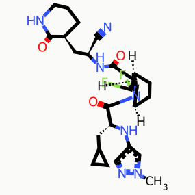 Cn1cc(N[C@H](CC2CC2)C(=O)N2[C@@H]3CC[C@H]([C@@H]2C(=O)N[C@H](C#N)C[C@@H]2CCCNC2=O)C(F)(F)C3)cn1